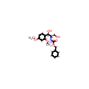 COc1ccc([C@@H](O)[C@@H](CO)NC(=O)OCc2ccccc2)c(OC)c1